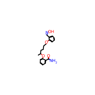 CC(CCCCOc1ccccc1/C=N\O)Oc1ccccc1C(N)=O